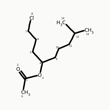 CC(=O)OC(CCCCl)CCCC(C)C